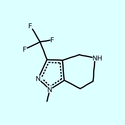 Cn1nc(C(F)(F)F)c2c1CCNC2